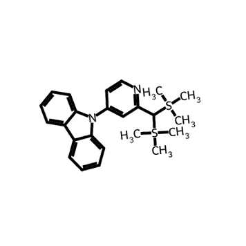 CS(C)(C)C(c1cc(-n2c3ccccc3c3ccccc32)ccn1)S(C)(C)C